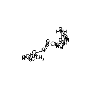 Cn1c(=O)n(C2CCC(=O)NC2=O)c2cccc(CCCN3CCC4(CC3)CN(C(=O)[C@H]3CC[C@H](n5cc(NC(=O)c6cnn7ccc(N8C[C@H]9C[C@@H]8CO9)nc67)c(C(F)F)n5)CC3)C4)c21